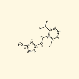 CC(C)c1cccc(I)c1COc1ccn(O)n1